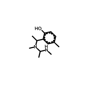 CNC(C)N(C)C(C)c1cc(C)ccc1O